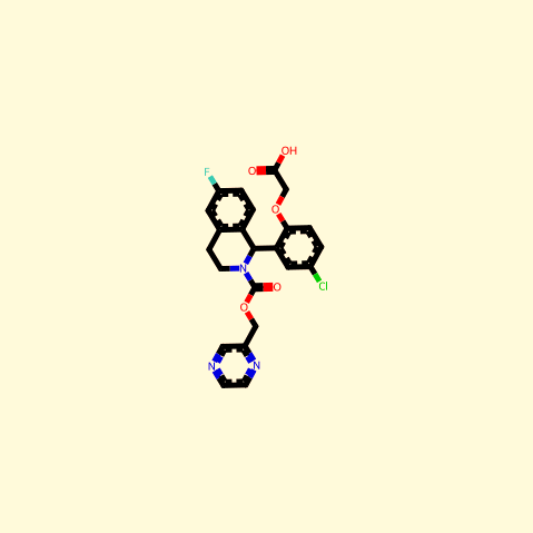 O=C(O)COc1ccc(Cl)cc1C1c2ccc(F)cc2CCN1C(=O)OCc1cnccn1